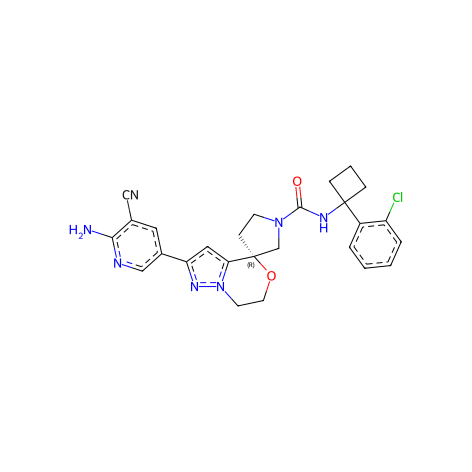 N#Cc1cc(-c2cc3n(n2)CCO[C@@]32CCN(C(=O)NC3(c4ccccc4Cl)CCC3)C2)cnc1N